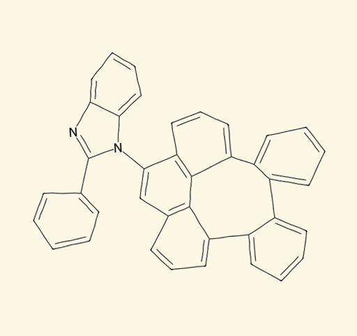 c1ccc(-c2nc3ccccc3n2-c2cc3cccc4c5ccccc5c5ccccc5c5cccc2c5c34)cc1